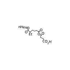 CCCCCCOC(=O)C(CC)CCCC(=O)OC(=O)CCC(=O)O